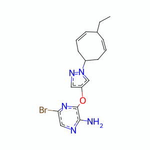 CCC1/C=C\CC(n2cc(Oc3nc(Br)cnc3N)cn2)C/C=C\1